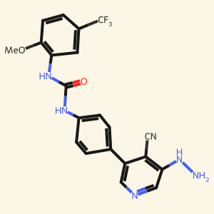 COc1ccc(C(F)(F)F)cc1NC(=O)Nc1ccc(-c2cncc(NN)c2C#N)cc1